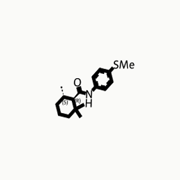 CSc1ccc(NC(=O)[C@@H]2[C@@H](C)CCCC2(C)C)cc1